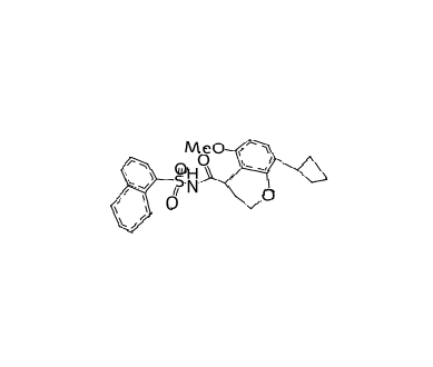 COc1ccc(C2CCC2)c2c1C(C(=O)NS(=O)(=O)c1cccc3ccccc13)CCO2